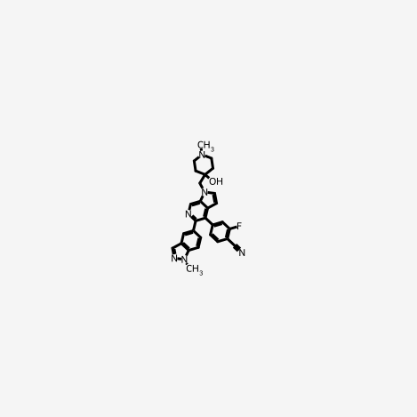 CN1CCC(O)(Cn2ccc3c(-c4ccc(C#N)c(F)c4)c(-c4ccc5c(cnn5C)c4)ncc32)CC1